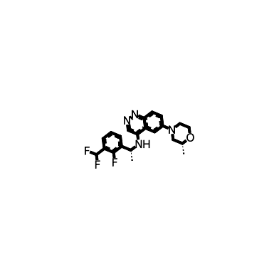 C[C@@H]1CN(c2ccc3nncc(N[C@H](C)c4cccc(C(F)F)c4F)c3c2)CCO1